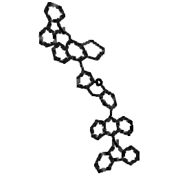 C1=Cc2c(c(Cn3c4ccccc4c4ccccc43)c3ccccc3c2-c2ccc3c(c2)Oc2ccc(-c4c5ccccc5c(-n5c6ccccc6c6ccccc65)c5ccccc45)cc2C3)CC1